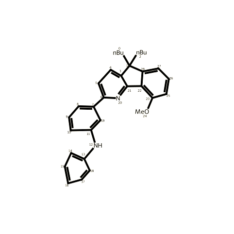 CCCCC1(CCCC)c2ccc(-c3cccc(Nc4ccccc4)c3)nc2-c2c(OC)cccc21